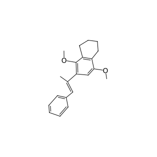 COc1cc(/C(C)=C/c2ccccc2)c(OC)c2c1CCCC2